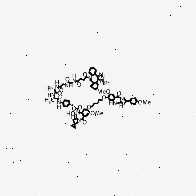 COc1ccc(C2=CN3C(=O)c4cc(OC)c(OCCCCCOc5cc6c(cc5OC)C(=O)N5CC7(CC7)C[C@H]5[C@H](O)N6C(=O)OCc5ccc(NC(=O)[C@H](C)NC(=O)[C@@H](NC(=O)CNC(=O)CNC(=O)CCC(=O)N6Cc7ccccc7-c7c(nnn7C(C)C)-c7ccccc76)C(C)C)cc5)cc4NC[C@@H]3C2)cc1